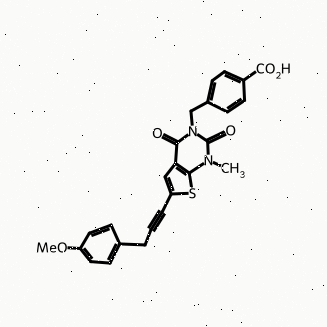 COc1ccc(CC#Cc2cc3c(=O)n(Cc4ccc(C(=O)O)cc4)c(=O)n(C)c3s2)cc1